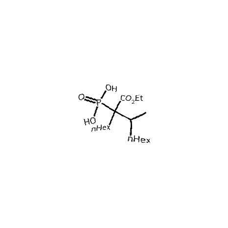 CCCCCCC(C)C(CCCCCC)(C(=O)OCC)P(=O)(O)O